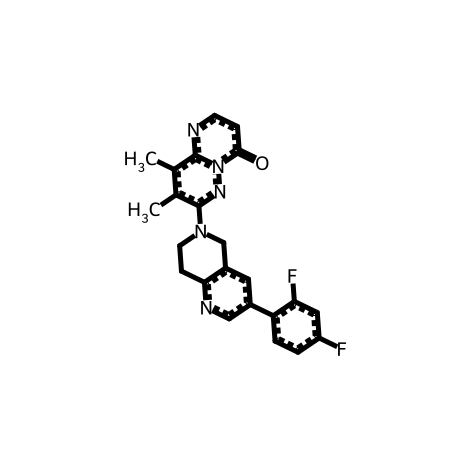 Cc1c(N2CCc3ncc(-c4ccc(F)cc4F)cc3C2)nn2c(=O)ccnc2c1C